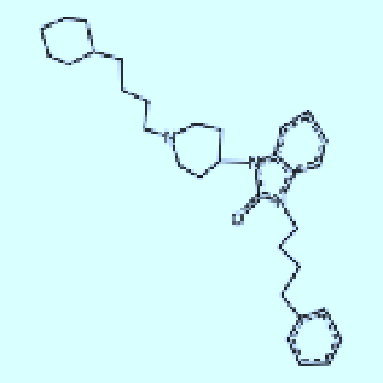 O=c1n(CCCCc2ccccc2)c2ccccc2n1C1CCN(CCCCC2CCCCC2)CC1